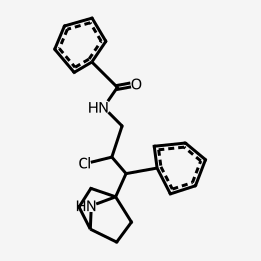 O=C(NCC(Cl)C(c1ccccc1)C12CCC(CC1)N2)c1ccccc1